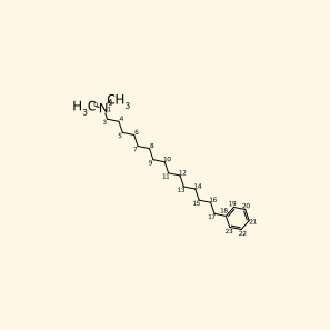 CN(C)CCCCCCCCCCCCCCCc1ccccc1